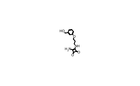 Nc1c(NCCCOc2cccc(CO)c2)c(=O)c1=O